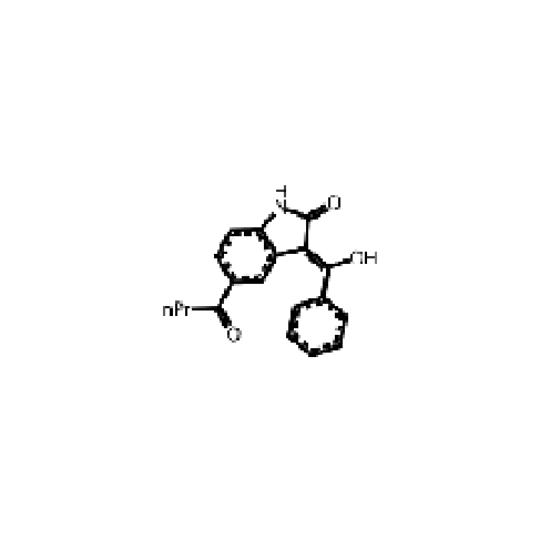 CCCC(=O)c1ccc2c(c1)/C(=C(/O)c1ccccc1)C(=O)N2